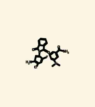 CN(C)c1cccc(C(N)=O)c1.Nc1cc(N2C(=O)c3ccccc3C2=O)c(F)cc1Cl